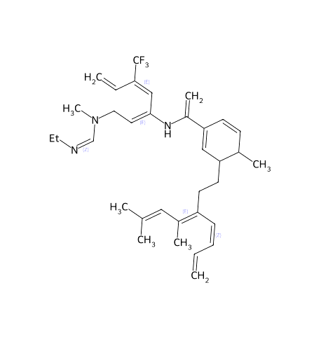 C=C/C=C\C(CCC1C=C(C(=C)NC(=C/CN(C)/C=N\CC)/C=C(\C=C)C(F)(F)F)C=CC1C)=C(/C)C=C(C)C